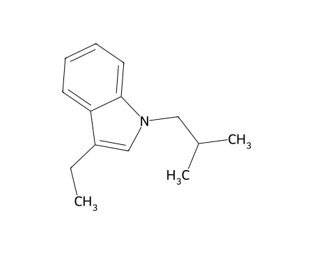 CCc1cn(CC(C)C)c2ccccc12